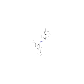 Cc1ncc(C)n2nc(/C=C/c3nc(N4CCCC4)nn3C3CC3)nc12